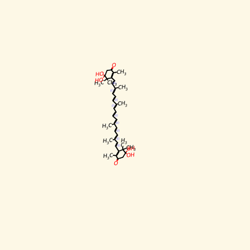 CC1=C(/C=C/C(C)=C/C=C/C(C)=C/C=C/C=C(C)/C=C/C=C(C)/C=C/C2=C(C)C(=O)CC(O)(O)C2(C)C)C(C)(C)C(O)(O)CC1=O